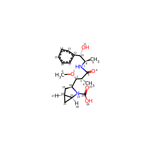 CO[C@H]([C@@H](C)C(=O)N[C@H](C)[C@@H](O)c1ccccc1)[C@@H]1C[C@@H]2C[C@@H]2N1C(=O)O